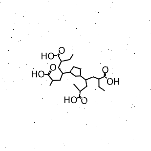 CCC(CC(CC(C)C(=O)O)C1CCC(C(CC(C)C(=O)O)CC(CC)C(=O)O)C1)C(=O)O